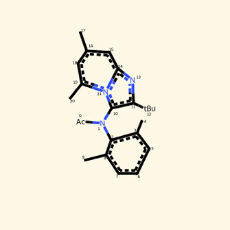 CC(=O)N(c1c(C)cccc1C)c1c(C(C)(C)C)nc2cc(C)cc(C)n12